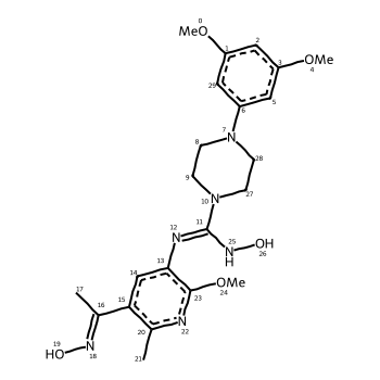 COc1cc(OC)cc(N2CCN(C(=Nc3cc(C(C)=NO)c(C)nc3OC)NO)CC2)c1